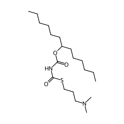 CCCCCCC(CCCCCC)OC(=O)NC(=O)SCCCN(C)C